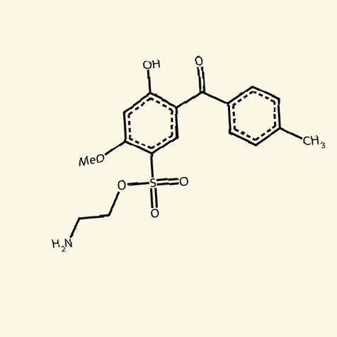 COc1cc(O)c(C(=O)c2ccc(C)cc2)cc1S(=O)(=O)OCCN